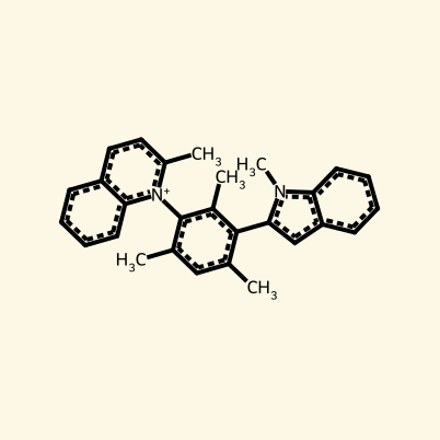 Cc1cc(C)c(-[n+]2c(C)ccc3ccccc32)c(C)c1-c1cc2ccccc2n1C